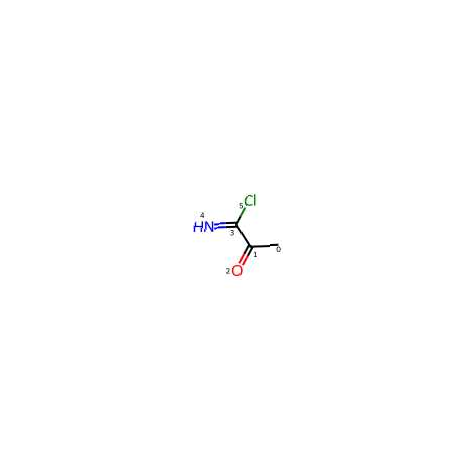 CC(=O)C(=N)Cl